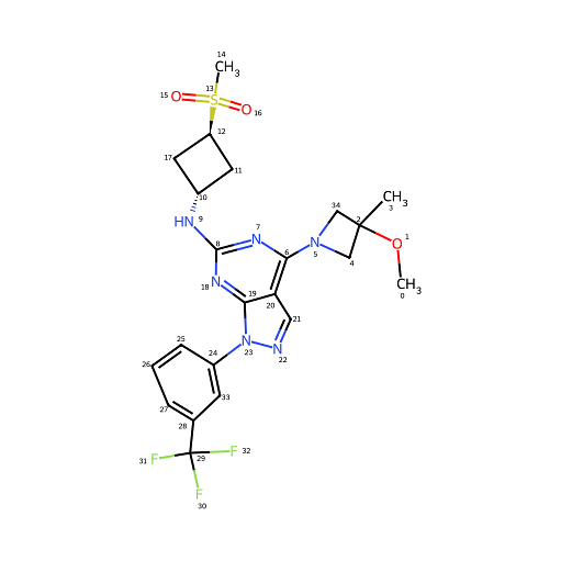 COC1(C)CN(c2nc(N[C@H]3C[C@H](S(C)(=O)=O)C3)nc3c2cnn3-c2cccc(C(F)(F)F)c2)C1